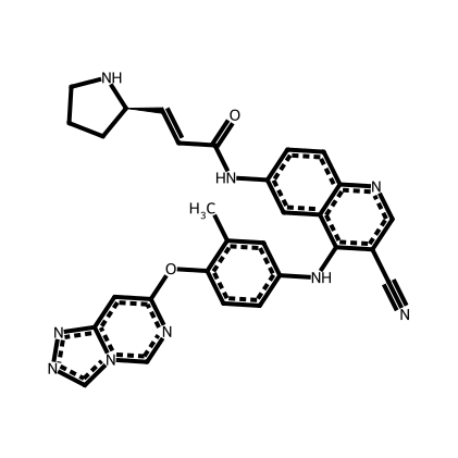 Cc1cc(Nc2c(C#N)cnc3ccc(NC(=O)/C=C/[C@H]4CCCN4)cc23)ccc1Oc1cc2nncn2cn1